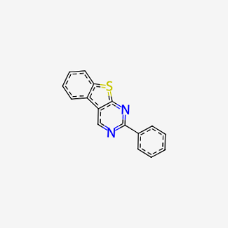 c1ccc(-c2ncc3c(n2)sc2ccccc23)cc1